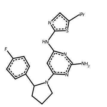 CC(C)c1cnc(Nc2cc(N3CCCC3c3ccc(F)cc3)nc(N)n2)s1